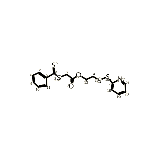 O=C(CSC(=S)c1ccccc1)OCCSSc1ccccn1